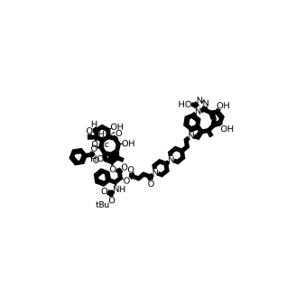 CC(=O)O[C@@]12CO[C@@H]1C[C@H](O)[C@@]1(C)C(=O)[C@H](O)C3=C(C)[C@@H](OC(=O)[C@H](OC(=O)CCC(=O)N4CCC(N5CCC(CCn6cc7c8cc(ccc86)-n6c(O)nnc6-c6cc(c(O)cc6O)C7C)CC5)CC4)[C@@H](NC(=O)OC(C)(C)C)c4ccccc4)C[C@@](O)([C@@H](OC(=O)c4ccccc4)[C@H]21)C3(C)C